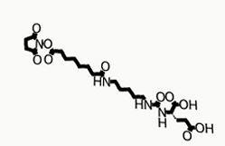 O=C(O)CC[C@H](NC(=O)NCCCCCNC(=O)CCCCCCC(=O)ON1C(=O)CCC1=O)C(=O)O